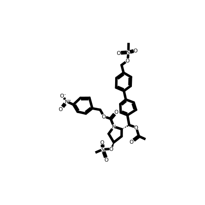 CC(=O)OC(c1ccc(-c2ccc(COS(C)(=O)=O)cc2)cc1)[C@@H]1C[C@@H](OS(C)(=O)=O)CN1C(=O)OCc1ccc([N+](=O)[O-])cc1